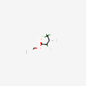 CCOC(=O)C(Br)[C@H](C)C(F)(F)F